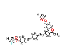 C=CC(=O)OCc1ccc(OC(C)c2ccc(C#Cc3ccc(C#Cc4ccc(OC(=O)C(=C)F)cc4)cc3)cc2)cc1